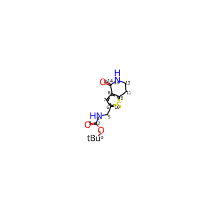 CC(C)(C)OC(=O)NCc1cc2c(s1)CCNC2=O